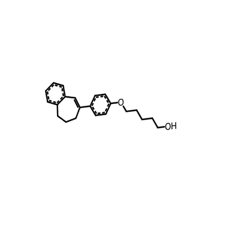 OCCCCCOc1ccc(C2=Cc3ccccc3CCC2)cc1